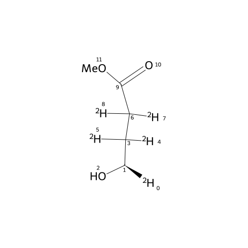 [2H][C@@H](O)C([2H])([2H])C([2H])([2H])C(=O)OC